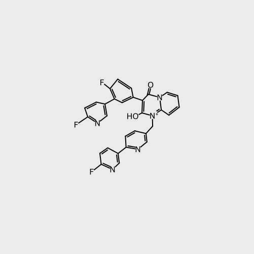 O=c1c(-c2ccc(F)c(-c3ccc(F)nc3)c2)c(O)[n+](Cc2ccc(-c3ccc(F)nc3)nc2)c2ccccn12